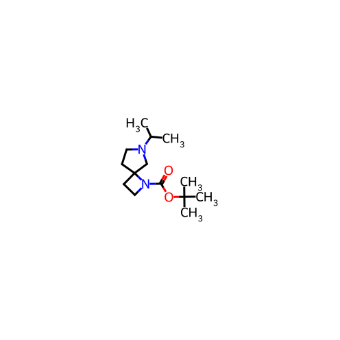 CC(C)N1CCC2(CCN2C(=O)OC(C)(C)C)C1